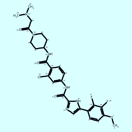 COc1ccc(-c2cnc(C(=O)Nc3ccc(C(=O)NC4CCN(C(=O)CN(C)C)CC4)c(Cl)c3)[nH]2)c(F)c1F